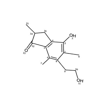 Cc1c(O)c2c(c(C)c1CCO)C(=O)C(C)C2